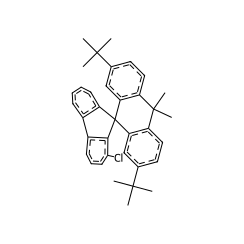 CC(C)(C)c1ccc2c(c1)C1(c3ccccc3-c3cccc(Cl)c31)c1cc(C(C)(C)C)ccc1C2(C)C